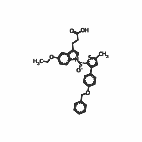 CCOc1ccc2c(c1)c(CCC(=O)O)cn2[S+]([O-])c1sc(C)cc1-c1ccc(OCc2ccccc2)cc1